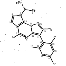 CCCC(CC)n1ccc2c(C)nc3c(-c4c(C)cc(C)cc4C)c(C)nn3c21